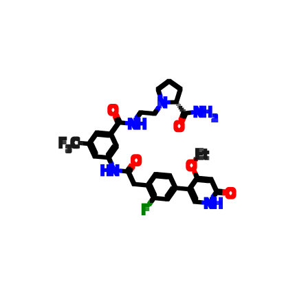 CCOc1cc(=O)[nH]cc1-c1ccc(CC(=O)Nc2cc(C(=O)NCCN3CCC[C@@H]3C(N)=O)cc(C(F)(F)F)c2)c(F)c1